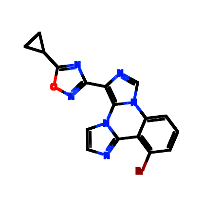 Brc1cccc2c1c1nccn1c1c(-c3noc(C4CC4)n3)ncn21